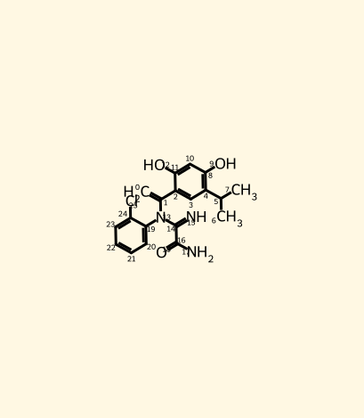 C=C(c1cc(C(C)C)c(O)cc1O)N(C(=N)C(N)=O)c1ccccc1Cl